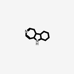 C1=CC2NC3CCCCC3C2CC=N1